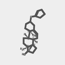 C[C@]12CC[C@@H]3[C@@H](CC=C4CC(OC5=CCCC5)CC[C@@]43C=O)[C@@H]1CCC2O